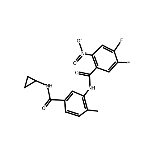 Cc1ccc(C(=O)NC2CC2)cc1NC(=O)c1cc(F)c(F)cc1[N+](=O)[O-]